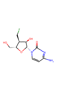 Nc1ccn([C@@H]2O[C@H](CO)[C@@H](CF)[C@H]2O)c(=O)n1